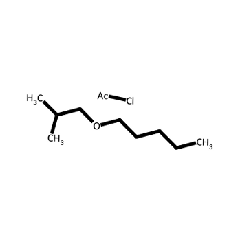 CC(=O)Cl.CCCCCOCC(C)C